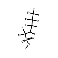 O=S(=O)(OF)C(F)(F)C(F)C(F)(F)C(F)(F)C(F)(F)F